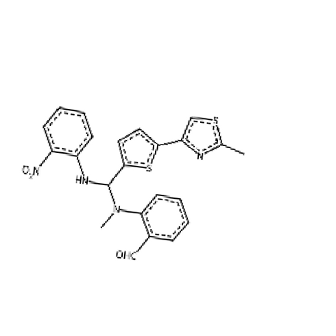 Cc1nc(-c2ccc(C(Nc3ccccc3[N+](=O)[O-])N(C)c3ccccc3C=O)s2)cs1